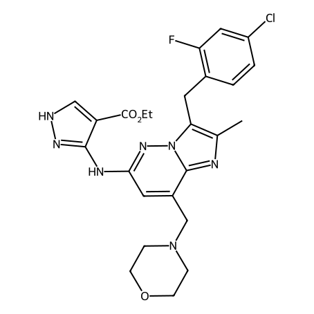 CCOC(=O)c1c[nH]nc1Nc1cc(CN2CCOCC2)c2nc(C)c(Cc3ccc(Cl)cc3F)n2n1